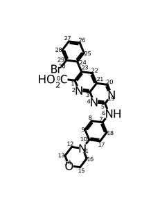 O=C(O)c1nc2nc(Nc3ccc(N4CCOCC4)cc3)ncc2cc1-c1ccccc1Br